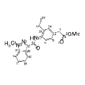 COC(=O)Cc1ccc(NC(=O)c2nn(C)c3ccccc23)c(CI)c1